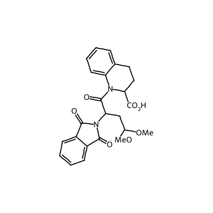 COC(CC(C(=O)N1c2ccccc2CCC1C(=O)O)N1C(=O)c2ccccc2C1=O)OC